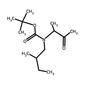 CCC(C)CN(C(=O)OC(C)(C)C)C(C)C(C)=O